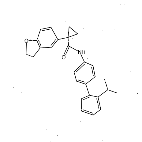 CC(C)c1ccccc1-c1ccc(NC(=O)C2(c3ccc4c(c3)CCO4)CC2)cc1